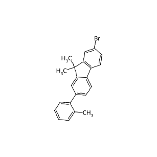 Cc1ccccc1-c1ccc2c(c1)C(C)(C)c1cc(Br)ccc1-2